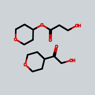 O=C(CCO)OC1CCOCC1.O=C(CO)C1CCOCC1